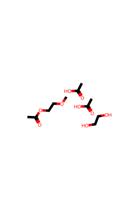 CC(=O)O.CC(=O)O.COCCOC(C)=O.OCCO